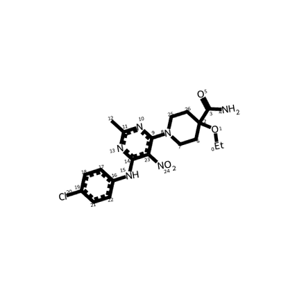 CCOC1(C(N)=O)CCN(c2nc(C)nc(Nc3ccc(Cl)cc3)c2[N+](=O)[O-])CC1